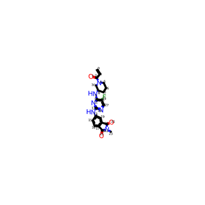 C=CC(=O)N1CCCC(Nc2nc(Nc3ccc4c(c3)C(=O)N(C)C4=O)ncc2F)C1